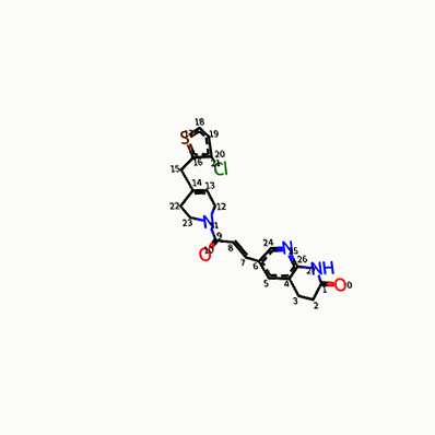 O=C1CCc2cc(C=CC(=O)N3CC=C(Cc4sccc4Cl)CC3)cnc2N1